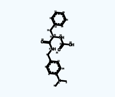 CN(C)c1ccc(CNC(=O)[C@@H](Cc2ccccc2)NC(=O)O)cc1